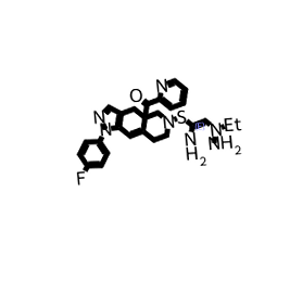 CCN(N)/C=C(\N)SN1CCC2=Cc3c(cnn3-c3ccc(F)cc3)CC2(C(=O)c2ccccn2)C1